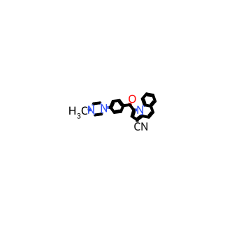 CN1CCN(c2ccc(C(=O)c3cc(C#N)c4ccc5ccccc5n34)cc2)CC1